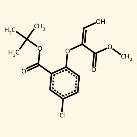 COC(=O)C(=CO)Oc1ccc(Cl)cc1C(=O)OC(C)(C)C